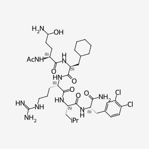 CC(=O)N[C@@H](CCC(N)O)C(=O)N[C@@H](CC1CCCCC1)C(=O)N[C@@H](CCCNC(=N)N)C(=O)N[C@@H](CC(C)C)C(=O)N[C@@H](Cc1ccc(Cl)c(Cl)c1)C(N)=O